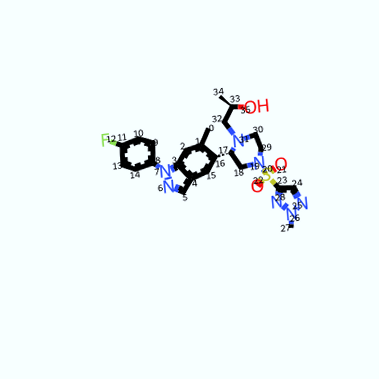 Cc1cc2c(cnn2-c2ccc(F)cc2)cc1[C@H]1CN(S(=O)(=O)c2cnn(C)n2)CCN1C[C@@H](C)O